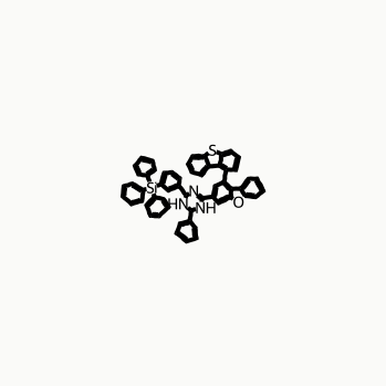 c1ccc(C2NC(c3cc(-c4cccc5sc6ccccc6c45)c4c(c3)oc3ccccc34)=NC(c3cccc([Si](c4ccccc4)(c4ccccc4)c4ccccc4)c3)N2)cc1